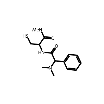 CNC(=O)C(CS)NC(=O)C(c1ccccc1)N(C)C